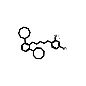 CC(C)c1ccc(CCCCCc2c(C3CCCCCCC3)cccc2C2CCCCCCC2)c(N)c1